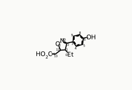 CCC1C(c2ccc(O)cc2)=NOC1CC(=O)O